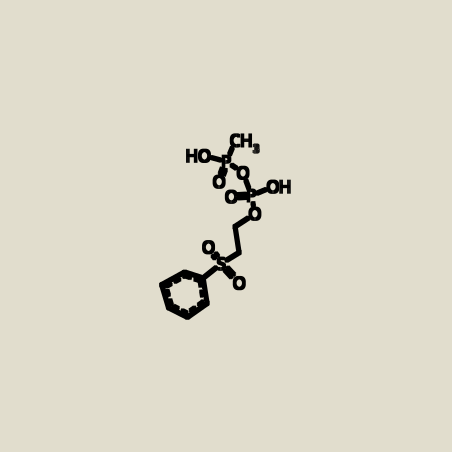 CP(=O)(O)OP(=O)(O)OCCS(=O)(=O)c1ccccc1